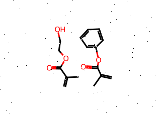 C=C(C)C(=O)OCCO.C=C(C)C(=O)Oc1ccccc1